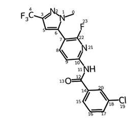 Cn1nc(C(F)(F)F)cc1-c1ccc(NC(=O)c2cccc(Cl)c2)nc1F